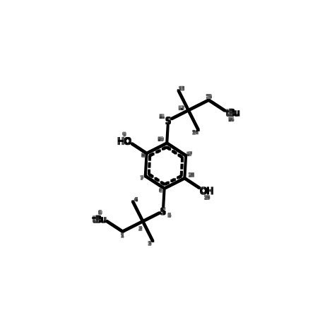 CC(C)(C)CC(C)(C)Sc1cc(O)c(SC(C)(C)CC(C)(C)C)cc1O